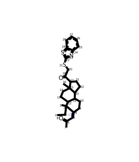 CCC1(C)/C(=C\C(C)=O)CCC2C1CCC1(C)C(C(=O)CSc3nc4ccccc4s3)CCC21